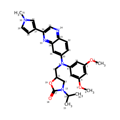 COc1cc(OC)cc(N(CC2CN(C(C)C)C(=O)O2)c2ccc3ncc(-c4ccn(C)c4)nc3c2)c1